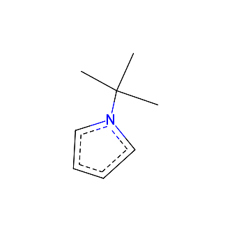 CC(C)(C)n1cccc1